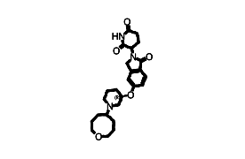 O=C1CCC(N2Cc3cc(O[C@@H]4CCCN(C5CCCOCCC5)C4)ccc3C2=O)C(=O)N1